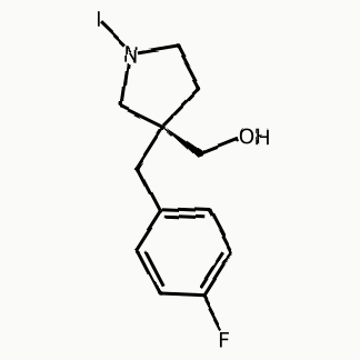 OC[C@]1(Cc2ccc(F)cc2)CCN(I)C1